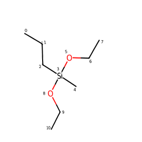 C[CH]C[Si](C)(OCC)OCC